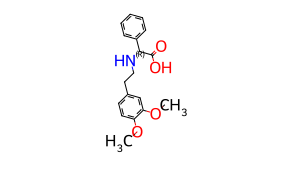 COc1ccc(CCN[C@@H](C(=O)O)c2ccccc2)cc1OC